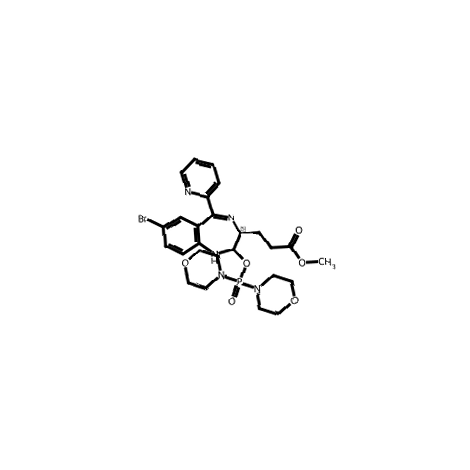 COC(=O)CC[C@@H]1N=C(c2ccccn2)c2cc(Br)ccc2NC1OP(=O)(N1CCOCC1)N1CCOCC1